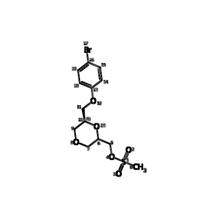 CS(=O)(=O)OCC1COC[C@@H](COc2ccc(Br)cc2)O1